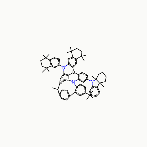 CC1c2ccc(cc2)-c2cc(C(C)(C)C)ccc2N2c3cc(N4c5ccccc5C5(C)CCCCC45C)ccc3B3c4cc5c(cc4N(c4ccc6c(c4)C(C)(C)CCC6(C)C)c4cc1cc2c43)C(C)(C)CCC5(C)C